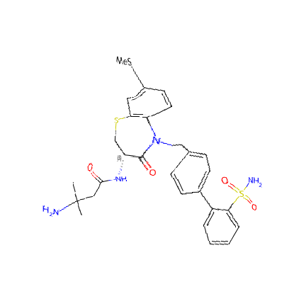 CSc1ccc2c(c1)SC[C@@H](NC(=O)CC(C)(C)N)C(=O)N2Cc1ccc(-c2ccccc2S(N)(=O)=O)cc1